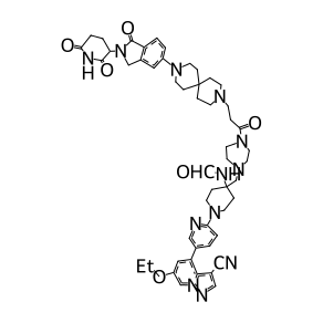 CCOc1cc(-c2ccc(N3CCC(CN4CCN(C(=O)CCN5CCC6(CC5)CCN(c5ccc7c(c5)CN(C5CCC(=O)NC5=O)C7=O)CC6)CC4)(NC=O)CC3)nc2)c2c(C#N)cnn2c1